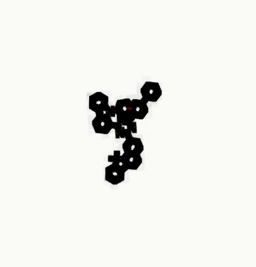 CC1(C)c2ccccc2-c2ccc3ccc(-c4nc(-c5ccc(-c6ccccc6)cc5)nc(-c5cccc6c7ccccc7n(-c7ccccc7)c56)n4)cc3c21